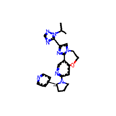 CC(C)n1ncnc1-c1cn2c(n1)-c1cnc(N3CCC[C@H]3c3ccncc3)cc1OCC2